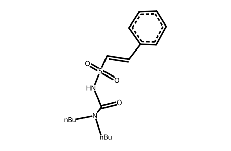 CCCCN(CCCC)C(=O)NS(=O)(=O)C=Cc1ccccc1